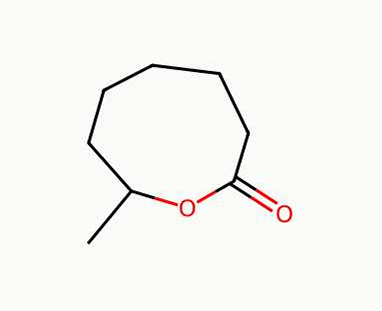 CC1CCCCCC(=O)O1